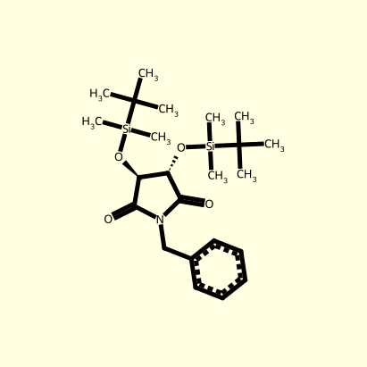 CC(C)(C)[Si](C)(C)O[C@@H]1C(=O)N(Cc2ccccc2)C(=O)[C@H]1O[Si](C)(C)C(C)(C)C